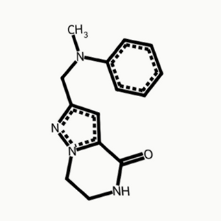 CN(Cc1cc2n(n1)CCNC2=O)c1ccccc1